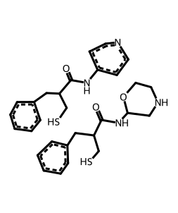 O=C(NC1CNCCO1)C(CS)Cc1ccccc1.O=C(Nc1ccncc1)C(CS)Cc1ccccc1